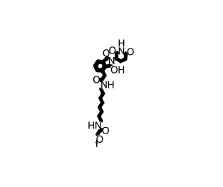 O=C(COI)NCCCCCCCCNC(=O)Cc1cccc2c1C(O)N(C1CCC(=O)NC1=O)C2=O